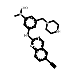 C#Cc1ccc2nc(Nc3cc(CN4CCNCC4)cc(N(C)C=O)c3)ncc2c1